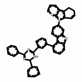 C1=Cc2c(c3ccccc3n2-c2ccc3c(c2)oc2cccc(-c4cccc(C5=NC(c6ccccc6)=NC(c6ccccc6)N5)c4)c23)CC1